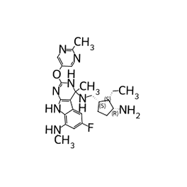 CC[C@H]1[C@@H](CNC2(C)NC(Oc3cnc(C)nc3)=Nc3[nH]c4c(NC)cc(F)cc4c32)CC[C@H]1N